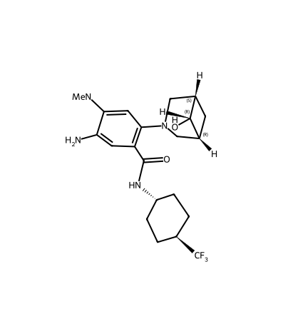 CNc1cc(N2C[C@H]3C[C@@H](C2)[C@H]3O)c(C(=O)N[C@H]2CC[C@H](C(F)(F)F)CC2)cc1N